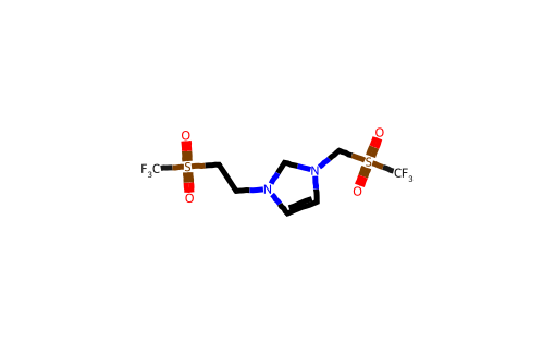 O=S(=O)(CCN1C=CN(CS(=O)(=O)C(F)(F)F)C1)C(F)(F)F